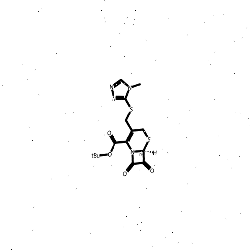 Cn1cnnc1SCC1=C(C(=O)OC(C)(C)C)N2C(=O)C(=O)[C@@H]2SC1